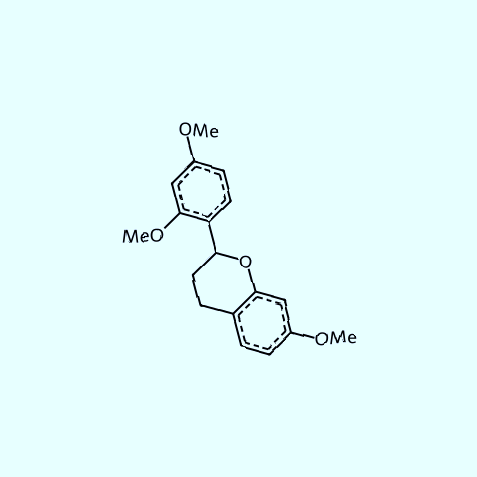 COc1ccc2c(c1)OC(c1ccc(OC)cc1OC)CC2